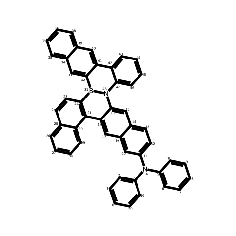 c1ccc(N(c2ccccc2)c2ccc3cc4c(cc3c2)-c2c(ccc3ccccc23)B2c3cc5ccccc5cc3-c3ccccc3N24)cc1